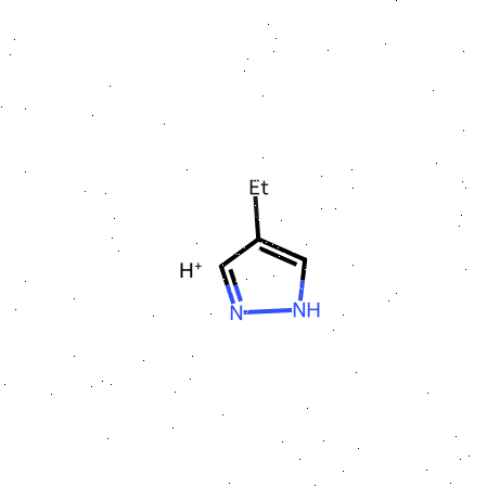 [CH2]Cc1cn[nH]c1.[H+]